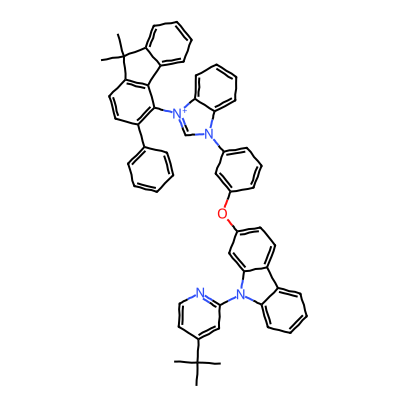 CC(C)(C)c1ccnc(-n2c3ccccc3c3ccc(Oc4cccc(-n5c[n+](-c6c(-c7ccccc7)ccc7c6-c6ccccc6C7(C)C)c6ccccc65)c4)cc32)c1